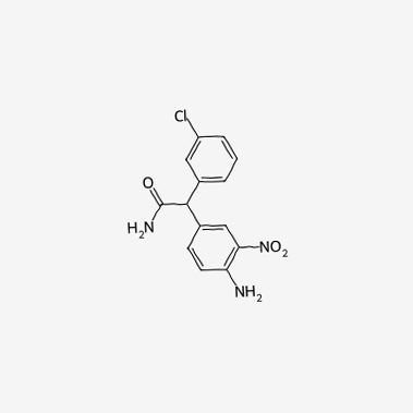 NC(=O)C(c1cccc(Cl)c1)c1ccc(N)c([N+](=O)[O-])c1